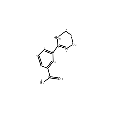 CCC(=O)c1cccc(C2=NOSCN2)c1